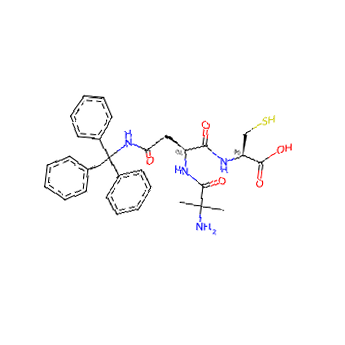 CC(C)(N)C(=O)N[C@@H](CC(=O)NC(c1ccccc1)(c1ccccc1)c1ccccc1)C(=O)N[C@@H](CS)C(=O)O